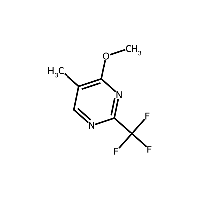 COc1nc(C(F)(F)F)ncc1C